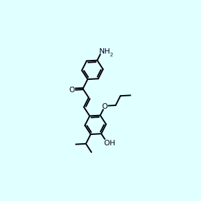 CCCOc1cc(O)c(C(C)C)cc1C=CC(=O)c1ccc(N)cc1